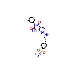 NS(=O)(=O)c1ccc(CCNc2ncc3c(=O)n(-c4cccc(F)c4)c(=O)[nH]c3n2)cc1